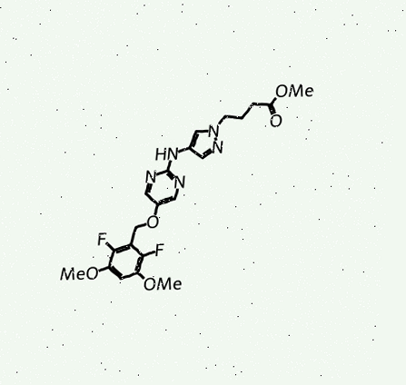 COC(=O)CCCn1cc(Nc2ncc(OCc3c(F)c(OC)cc(OC)c3F)cn2)cn1